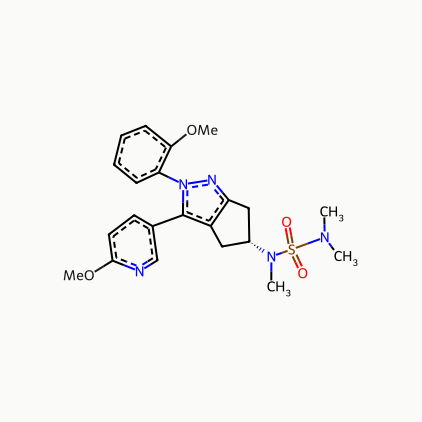 COc1ccc(-c2c3c(nn2-c2ccccc2OC)C[C@H](N(C)S(=O)(=O)N(C)C)C3)cn1